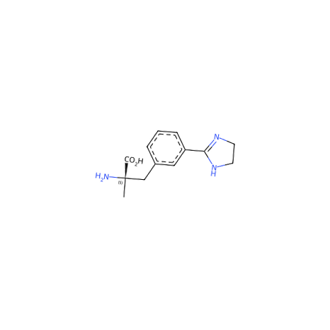 C[C@](N)(Cc1cccc(C2=NCCN2)c1)C(=O)O